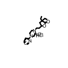 CCC1(CC)CC(CCN2CCN(c3ccccn3)CC2)OC1=O.Cl.Cl